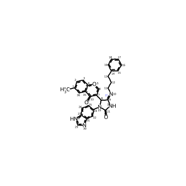 Cc1ccc2occ(C3/C(=N\CCCc4ccccc4)NC(=O)N3c3ccc4[nH]cnc4c3)c(=O)c2c1